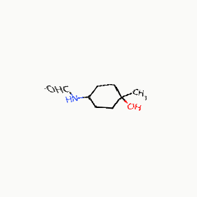 CC1(O)CCC(N[C]=O)CC1